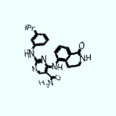 CC(C)c1cccc(Nc2ncc(C(N)=O)c(Nc3cccc4c3CCNC4=O)n2)c1